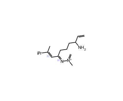 C=CC(N)CCCC(/C=C(\C)C(C)C)=N\[N+](=C)C